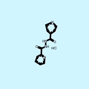 Cl.O=C(NNC(=O)c1ccccn1)c1ccncc1